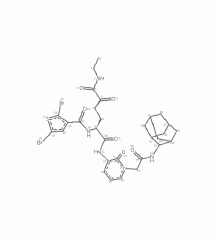 CCNC(=O)C(=O)CC[C@H](NC(=O)c1cc(Br)sc1Br)C(=O)Nc1cccn(CC(=O)NC2C3CC4CC(C3)CC2C4)c1=O